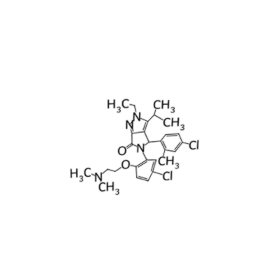 CCn1nc2c(c1C(C)C)C(c1ccc(Cl)cc1C)N(c1cc(Cl)ccc1OCCN(C)C)C2=O